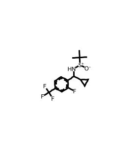 CC(C)(C)[S+]([O-])NC(c1ccc(C(F)(F)F)cc1F)C1CC1